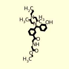 C=CCN1C[C@H](C)N([C@@H](c2cccc(O)c2)c2cccc(C(=O)CNCC(=O)OCC)c2)C[C@H]1C